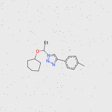 CCC(OC1CCCCC1)n1cc(-c2ccc(C)cc2)nn1